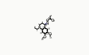 CCN1CC/C(=N\OC(C)=O)c2cc(OC)c(OC)cc21